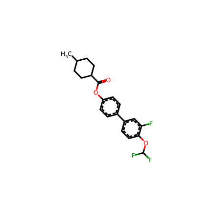 CC1CCC(C(=O)Oc2ccc(-c3ccc(OC(F)F)c(F)c3)cc2)CC1